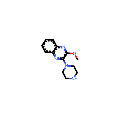 COc1nc2ccccc2nc1N1CCNCC1